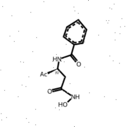 CC(=O)[C@H](CC(=O)NO)NC(=O)c1ccccc1